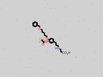 O=C(O)C(F)(F)F.O=C(O)CCNCCCc1ccc(OCCCCCOCc2ccccc2)cc1